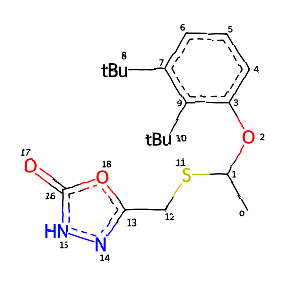 CC(Oc1cccc(C(C)(C)C)c1C(C)(C)C)SCc1n[nH]c(=O)o1